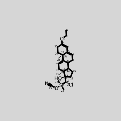 CCOC1=CC2=CCC3C(=CC[C@@]4(C)C3CC[C@]4(O)[C@H](Cl)[Si](C)(C)OC#N)[C@@]2(C)CC1